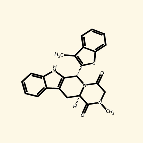 Cc1c([C@H]2c3[nH]c4ccccc4c3C[C@@H]3C(=O)N(C)CC(=O)N23)sc2ccccc12